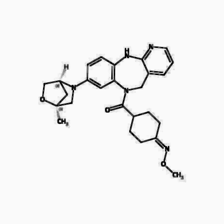 CON=C1CCC(C(=O)N2Cc3cccnc3Nc3ccc(N4C[C@]5(C)C[C@H]4CO5)cc32)CC1